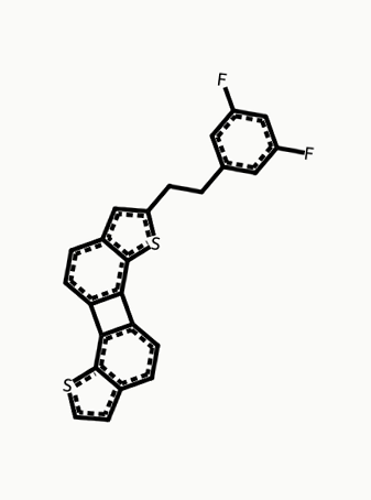 Fc1cc(F)cc(CCc2cc3ccc4c(c3s2)-c2ccc3ccsc3c2-4)c1